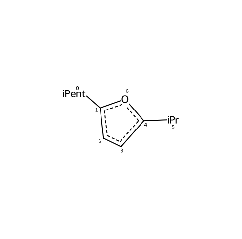 CCCC(C)c1ccc(C(C)C)o1